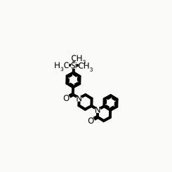 C[Si](C)(C)c1ccc(C(=O)N2CCC(N3C(=O)CCc4ccccc43)CC2)cc1